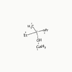 CCCC(C)(O)CC.[GaH3]